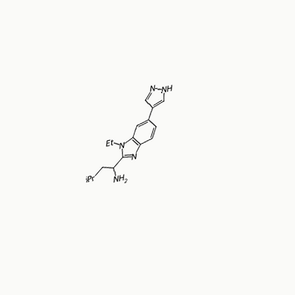 CCn1c(C(N)CC(C)C)nc2ccc(-c3cn[nH]c3)cc21